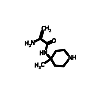 C=C(N)C(=O)NC1(C)CCNCC1